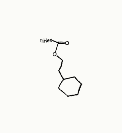 [CH2]CCCCCC(=O)OCCC1CCCCC1